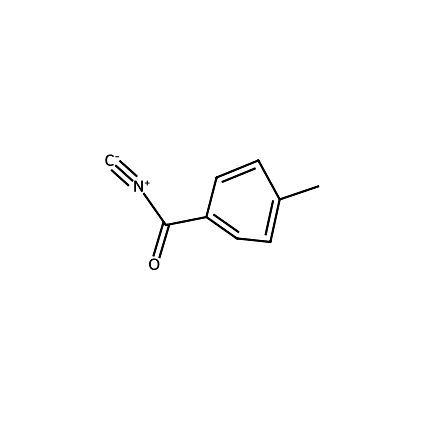 [C-]#[N+]C(=O)c1ccc(C)cc1